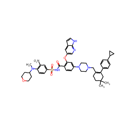 CN(c1ccc(S(=O)(=O)NC(=O)c2ccc(N3CCN(CC4=C(c5ccc(C6CC6)cc5)CC(C)(C)CC4)CC3)cc2Oc2cnc3[nH]ccc3c2)cc1[N+](=O)[O-])C1CCOCC1